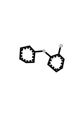 Clc1c[c]ccc1Oc1ccccc1